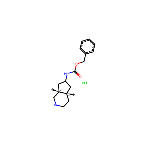 Cl.O=C(NC1C[C@H]2CNCC[C@H]2C1)OCc1ccccc1